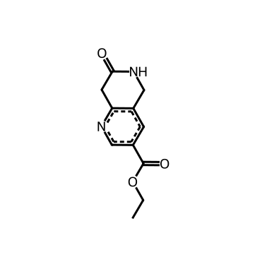 CCOC(=O)c1cnc2c(c1)CNC(=O)C2